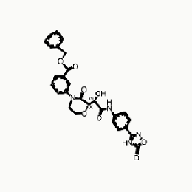 O=C(OCc1ccccc1)c1cccc(N2CCO[C@H]([C@@H](O)C(=O)Nc3ccc(-c4noc(=O)[nH]4)cc3)C2=O)c1